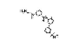 Cc1ccc(-c2cccc(C(C)(C)N=O)c2)cc1SNc1cccc(NCCN)c1